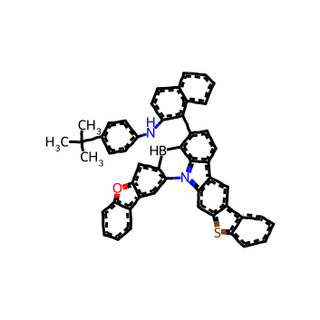 CC(C)(C)c1ccc(Nc2ccc3ccccc3c2-c2ccc3c4cc5c(cc4n4c3c2Bc2cc3oc6ccccc6c3cc2-4)sc2ccccc25)cc1